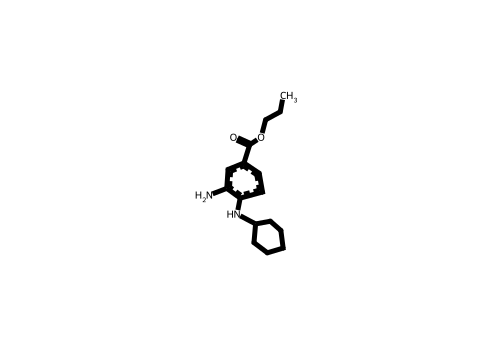 CCCOC(=O)c1ccc(NC2CCCCC2)c(N)c1